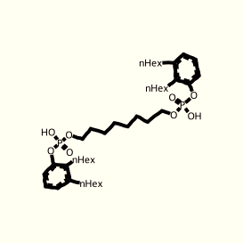 CCCCCCc1cccc(OP(=O)(O)OCCCCCCCCOP(=O)(O)Oc2cccc(CCCCCC)c2CCCCCC)c1CCCCCC